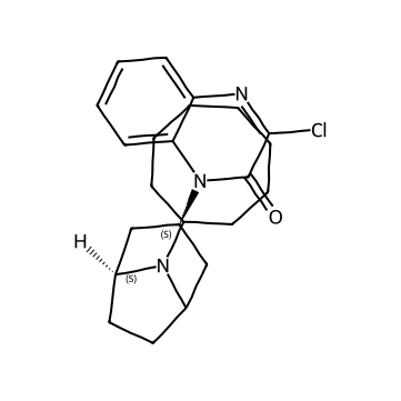 O=c1c(Cl)nc2ccccc2n1[C@H]1CC2CC[C@@H](C1)N2C1CCCCCCC1